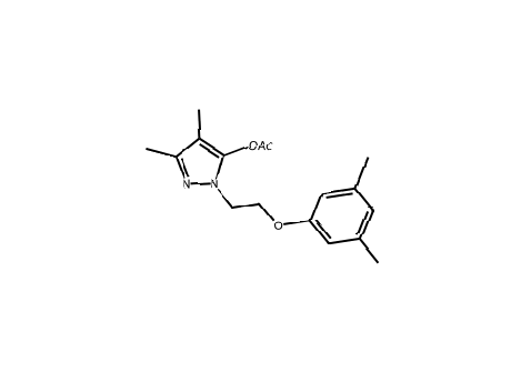 CC(=O)Oc1c(C)c(C)nn1CCOc1cc(C)cc(C)c1